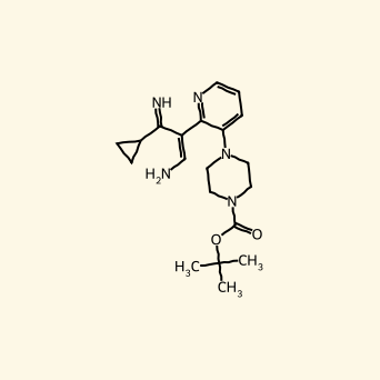 CC(C)(C)OC(=O)N1CCN(c2cccnc2/C(=C/N)C(=N)C2CC2)CC1